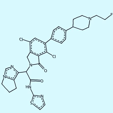 O=C(Nc1nccs1)C(c1ncn2c1CCC2)N1Cc2c(Cl)cc(-c3ccc(C4CCN(CCF)CC4)cc3)c(Cl)c2C1=O